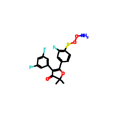 CC1(C)OC(c2ccc(SOON)c(F)c2)=C(c2cc(F)cc(F)c2)C1=O